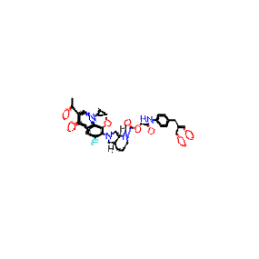 COc1c(N2C[C@@H]3CCCN(C(=O)OCC(=O)Nc4ccc(CC(C=O)C=O)cc4)[C@@H]3C2)c(F)cc2c(=O)c(C(C)=O)cn(C3CC3)c12